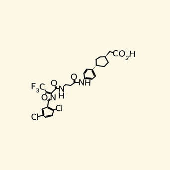 O=C(O)C[C@H]1CC[C@H](c2ccc(NC(=O)CCNC(=O)c3nc(-c4cc(Cl)ccc4Cl)oc3C(F)(F)F)cc2)CC1